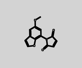 COc1cc(N2C(=O)C=CC2=O)c2occc2c1